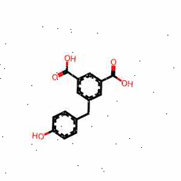 O=C(O)c1cc(Cc2ccc(O)cc2)cc(C(=O)O)c1